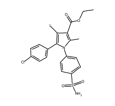 CCOC(=O)c1c(I)c(-c2ccc(Cl)cc2)n(-c2ccc(S(N)(=O)=O)cc2)c1C